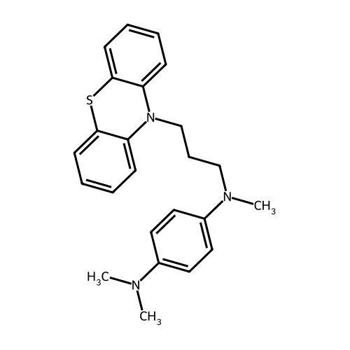 CN(C)c1ccc(N(C)CCCN2c3ccccc3Sc3ccccc32)cc1